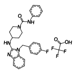 O=C(Nc1ccccc1)N1CCC(Nc2nc3ccccc3n2Cc2ccc(F)cc2)CC1.O=C(O)C(F)(F)F